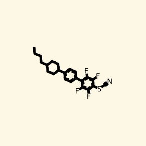 CCCCC1CCC(c2ccc(-c3c(F)c(F)c(SC#N)c(F)c3F)cc2)CC1